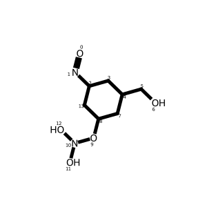 O=NC1CC(CO)CC(ON(O)O)C1